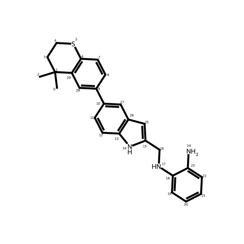 CC1(C)CCSc2ccc(-c3ccc4[nH]c(CNc5ccccc5N)cc4c3)cc21